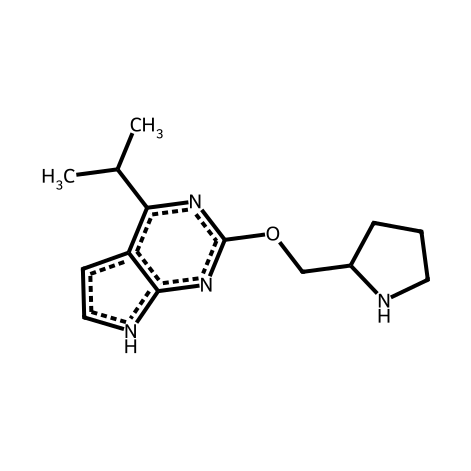 CC(C)c1nc(OCC2CCCN2)nc2[nH]ccc12